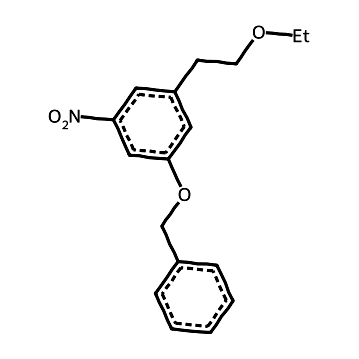 CCOCCc1cc(OCc2ccccc2)cc([N+](=O)[O-])c1